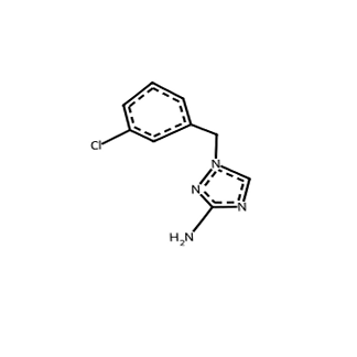 Nc1ncn(Cc2cccc(Cl)c2)n1